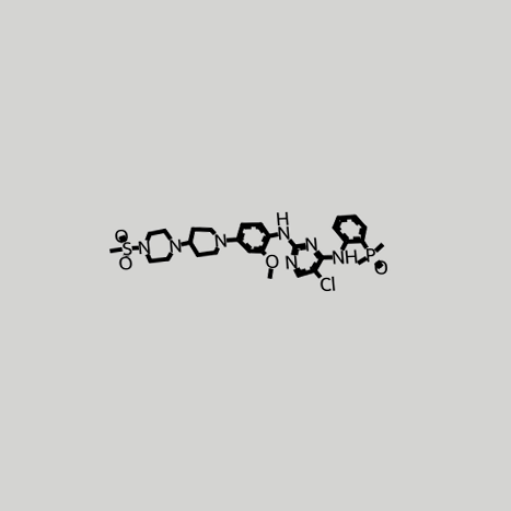 COc1cc(N2CCC(N3CCN(S(C)(=O)=O)CC3)CC2)ccc1Nc1ncc(Cl)c(Nc2ccccc2P(C)(C)=O)n1